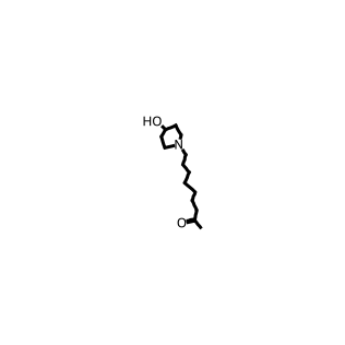 CC(=O)CCCCCCCN1CCC(O)CC1